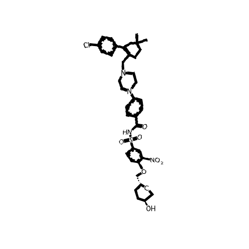 CC1(C)CCC(CN2CCN(c3ccc(C(=O)NS(=O)(=O)c4ccc(OC[C@H]5CC[C@H](O)CC5)c([N+](=O)[O-])c4)cc3)CC2)=C(c2ccc(Cl)cc2)C1